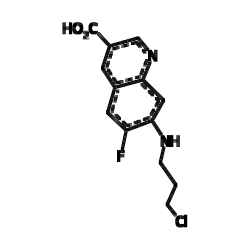 O=C(O)c1cnc2cc(NCCCCl)c(F)cc2c1